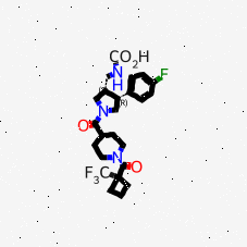 O=C(O)NC[C@H]1CN(C(=O)C2CCN(C(=O)C3(C(F)(F)F)CCC3)CC2)C[C@H]1c1ccc(F)cc1